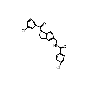 O=C(NCc1ccc2c(c1)CCN2C(=O)c1cccc(Cl)c1)c1ccc(Cl)cc1